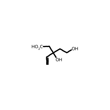 C=CC(O)(CCO)CC(=O)O